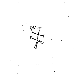 COCC(F)(F)S(=O)(=O)F